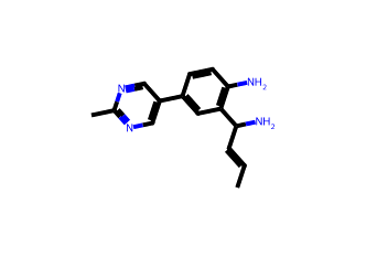 C/C=C/C(N)c1cc(-c2cnc(C)nc2)ccc1N